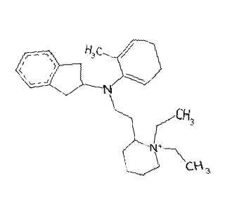 CC[N+]1(CC)CCCCC1CCN(C1=CCCC=C1C)C1Cc2ccccc2C1